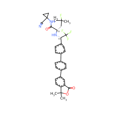 CC(C)(F)C[C@H](N[C@@H](c1ccc(-c2ccc(-c3ccc4c(c3)C(=O)OC4(C)C)cc2)cc1)C(F)(F)F)C(=O)NC1(C#N)CC1